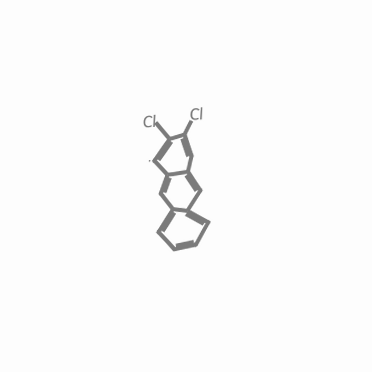 Clc1[c]c2cc3ccccc3cc2cc1Cl